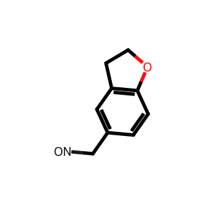 O=NCc1ccc2c(c1)CCO2